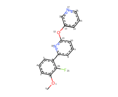 COc1cccc(-c2cccc(Oc3cccnc3)n2)c1F